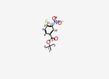 CC(C)(C)OC(=O)c1ccc(F)c([N+](=O)[O-])c1